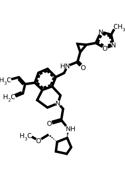 C=C/C(=C\C)c1ccc(CNC(=O)C2CC2c2nc(C)no2)c2c1CCN(CC(=O)N[C@@H]1CCC[C@@H]1COC)C2